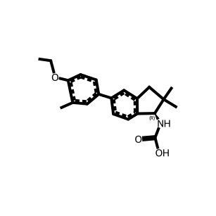 CCOc1ccc(-c2ccc3c(c2)CC(C)(C)[C@H]3NC(=O)O)cc1C